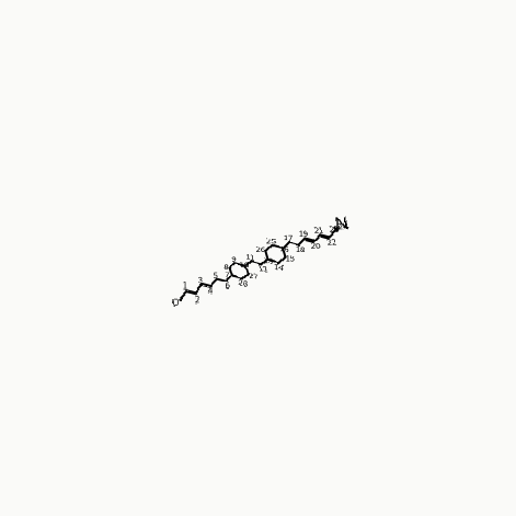 CCCCCCCC1CCC(CCC2CCC(CCC=CC=CC#N)CC2)CC1